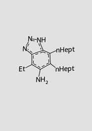 CCCCCCCc1c(N)c(CC)c2nn[nH]c2c1CCCCCCC